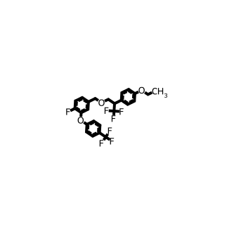 CCOc1ccc(C(COCc2ccc(F)c(Oc3ccc(C(F)(F)F)cc3)c2)C(F)(F)F)cc1